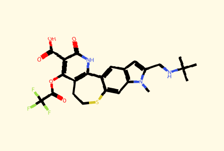 Cn1c(CNC(C)(C)C)cc2cc3c(cc21)SCCc1c-3[nH]c(=O)c(C(=O)O)c1OC(=O)C(F)(F)F